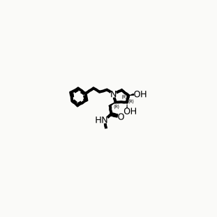 CNC(=O)C[C@@H]1[C@@H](O)[C@H](O)CN1CCCc1ccccc1